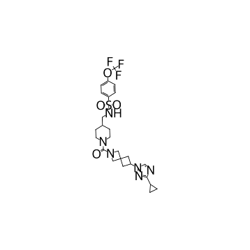 O=C(N1CCC(CNS(=O)(=O)c2ccc(OC(F)(F)F)cc2)CC1)N1CC2(CC(n3cnc(C4CC4)n3)C2)C1